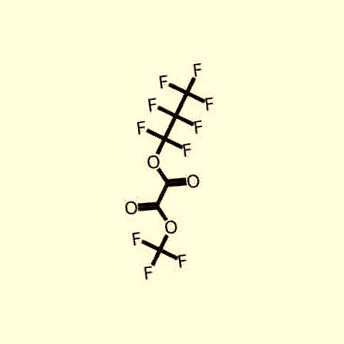 O=C(OC(F)(F)F)C(=O)OC(F)(F)C(F)(F)C(F)(F)F